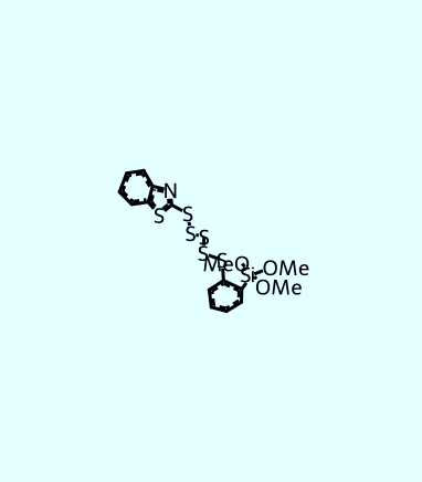 CO[Si](OC)(OC)c1ccccc1SSSSSc1nc2ccccc2s1